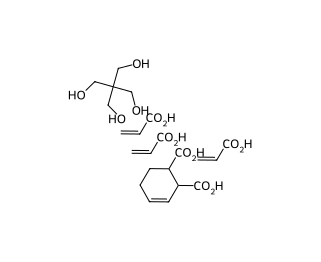 C=CC(=O)O.C=CC(=O)O.C=CC(=O)O.O=C(O)C1C=CCCC1C(=O)O.OCC(CO)(CO)CO